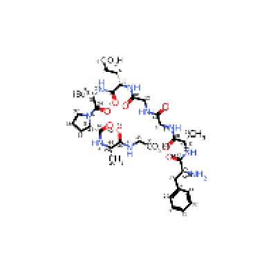 CC[C@H](C)[C@H](NC(=O)[C@H](CCC(=O)O)NC(=O)CNC(=O)CNC(=O)[C@H](C)NC(=O)[C@@H](N)Cc1ccccc1)C(=O)N1CCC[C@H]1C(=O)N[C@@H](C)C(=O)NCC(=O)O